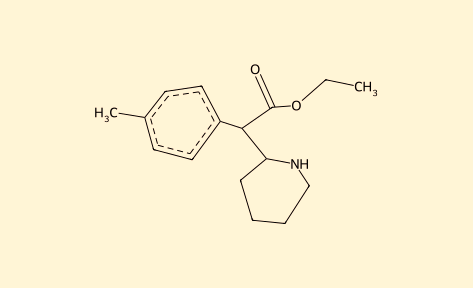 CCOC(=O)C(c1ccc(C)cc1)C1CCCCN1